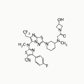 CN(c1nc(-c2ccc(F)cc2)c(C#N)s1)c1c(CC(F)(F)F)nc2sc(N3CCCC(N(C)CC(=O)N4CC(O)C4)C3)nn12